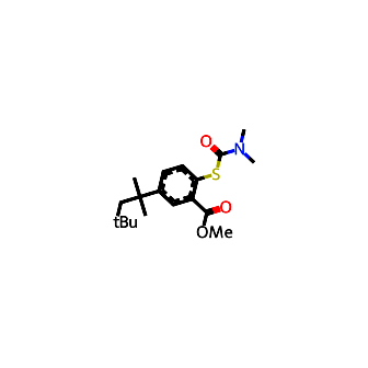 COC(=O)c1cc(C(C)(C)CC(C)(C)C)ccc1SC(=O)N(C)C